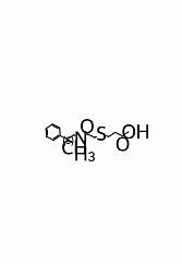 C[C@H](CNC(=O)CSCCC(=O)O)c1ccccc1